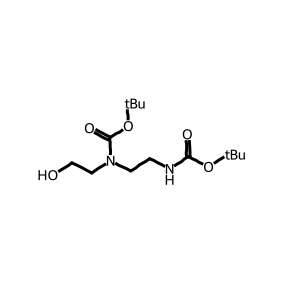 CC(C)(C)OC(=O)NCCN(CCO)C(=O)OC(C)(C)C